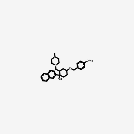 COc1ccc(COC2CCC(O)(c3ccc4ccccc4c3)C(CN3CCN(C)CC3)C2)cc1